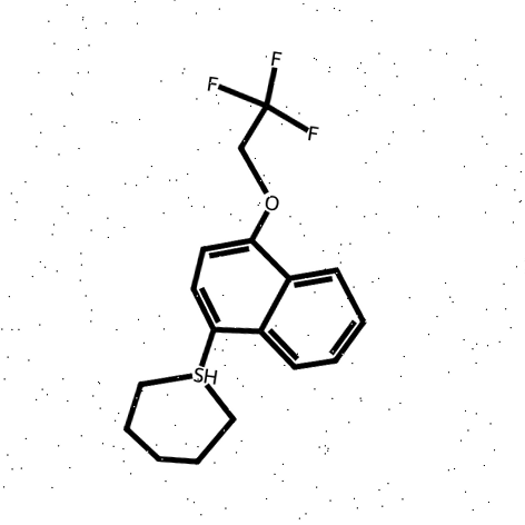 FC(F)(F)COc1ccc([SH]2CCCCC2)c2ccccc12